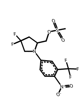 CS(=O)(=O)OCC1CC(F)(F)CN1c1ccc([N+](=O)[O-])c(C(F)(F)F)c1